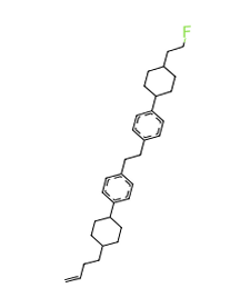 C=CCCC1CCC(c2ccc(CCc3ccc(C4CCC(CCF)CC4)cc3)cc2)CC1